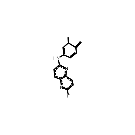 C=C1C=CC(Nc2ccc3nc(F)ccc3n2)=CC1C